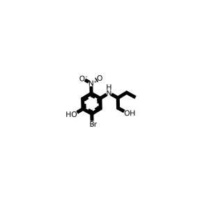 CCC(CO)Nc1cc(Br)c(O)cc1[N+](=O)[O-]